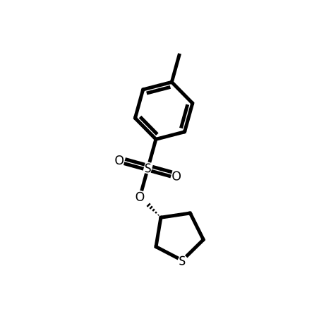 Cc1ccc(S(=O)(=O)O[C@@H]2CCSC2)cc1